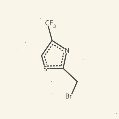 FC(F)(F)c1csc(CBr)n1